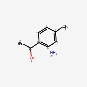 CC(C)C(O)c1ccc(C(F)(F)F)cc1.N